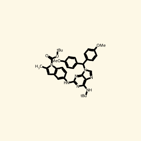 COc1ccc(C(c2ccc(OC)cc2)n2cnc3c(NC(C)(C)C)nc(Nc4ccc5c(c4)cc(C)n5C(=O)OC(C)(C)C)nc32)cc1